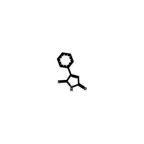 O=C1C=C(c2ccccc2)C(=S)N1